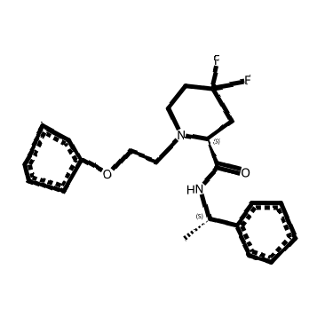 C[C@H](NC(=O)[C@@H]1CC(F)(F)CCN1CCOc1ccccc1)c1ccccc1